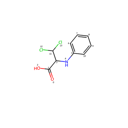 O=C(O)C(Nc1ccccc1)C(Cl)Cl